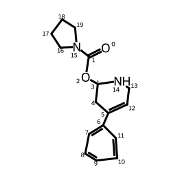 O=C(O[C]1CC(c2ccccc2)=CCN1)N1CCCC1